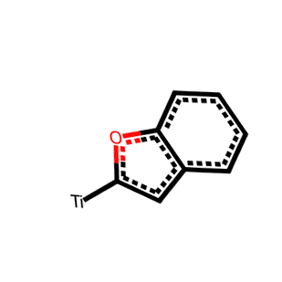 [Ti][c]1cc2ccccc2o1